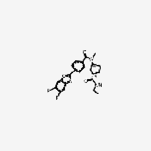 CCNC(=O)[C@H]1CC[C@@H](N(C)C(=O)c2ccc(-c3nc4cc(F)c(F)cc4o3)cc2)C1